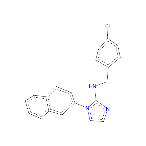 Clc1ccc(CNc2nccn2-c2ccc3ccccc3c2)cc1